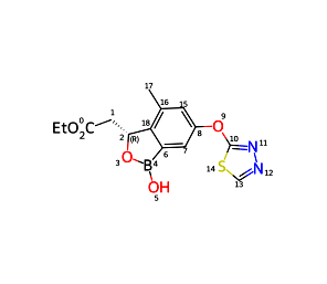 CCOC(=O)C[C@H]1OB(O)c2cc(Oc3nncs3)cc(C)c21